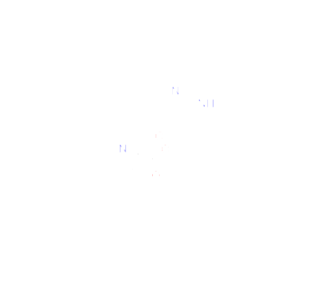 COC(=O)C(COc1ccnc2[nH]ccc12)(c1ccccc1)N(C)C